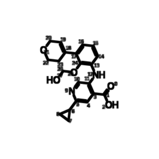 O=C(O)c1cc(C2CC2)ncc1Nc1cccc(C2=CCOCC2)c1OCO